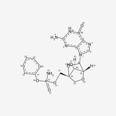 Nc1nc2c(ncn2C2O[C@@]3(COP(N)(=O)Oc4ccccc4)CO[C@@H]2[C@@H]3O)c(=O)[nH]1